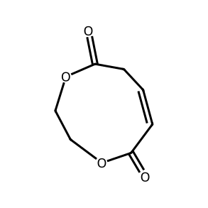 O=C1C=CCC(=O)OCCO1